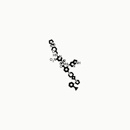 O=C(NS(=O)(=O)c1cnc(NCC2CC[C@@H](N=S3(=O)CCCC3)CO2)c([N+](=O)[O-])c1)c1ccc(N2CCC3(CC2)CC(N2CCC[C@@H]2c2ccccc2C2CC2)C3)cc1Oc1cnc2[nH]ccc2c1